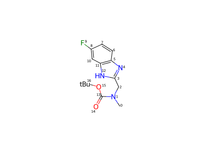 CN(Cc1nc2ccc(F)cc2[nH]1)C(=O)OC(C)(C)C